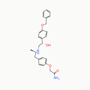 C[C@H](Cc1ccc(OCC(N)=O)cc1)NC[C@@H](O)c1ccc(OCc2ccccc2)cc1